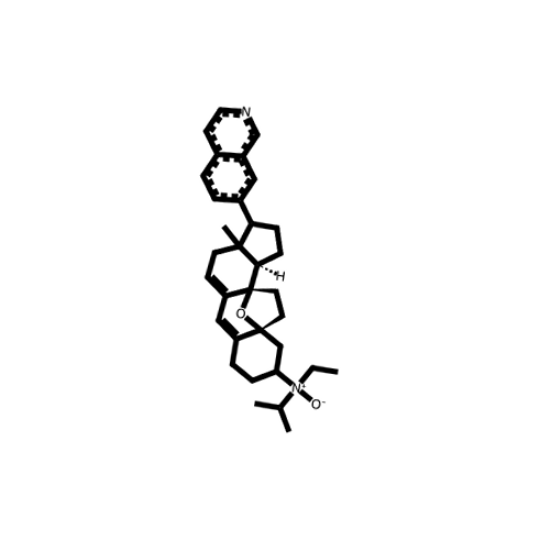 CC[N+]([O-])(C(C)C)C1CCC2=CC3=CCC4(C)C(c5ccc6ccncc6c5)CC[C@H]4[C@@]34CC[C@]2(C1)O4